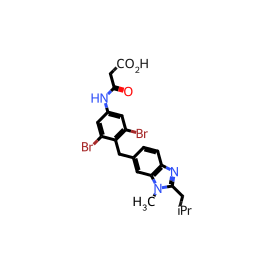 CC(C)Cc1nc2ccc(Cc3c(Br)cc(NC(=O)CC(=O)O)cc3Br)cc2n1C